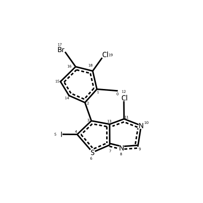 Cc1c(-c2c(I)sc3ncnc(Cl)c23)ccc(Br)c1Cl